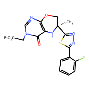 CCOC(=O)Cn1cnc2c(c1=O)N[C@](C)(c1nnc(-c3ccccc3F)s1)CO2